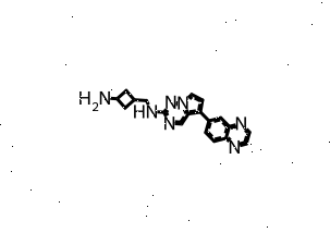 NC1CC(CNc2ncc3c(-c4ccc5nccnc5c4)ccn3n2)C1